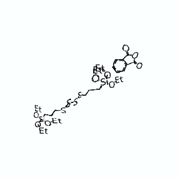 CCO[Si](CCCSSSSCCC[Si](OCC)(OCC)OCC)(OCC)OCC.O=C1OC(=O)c2ccccc21